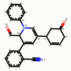 N#Cc1ccccc1C1=CC(C2C=CCC(=O)C2)=CN(c2ccccc2)C1C=O